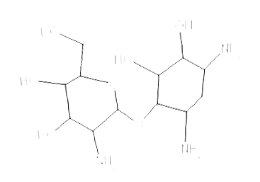 NC1CC(N)C(OC2OC(CO)C(O)C(O)C2N)C(O)C1O